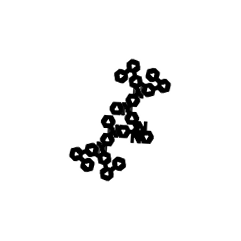 c1ccc(-c2ccccc2-c2ccc3c(c2)c2cc(-c4ccccc4-c4ccccc4)ccc2n3-c2ccc(N(c3ccccc3)c3ccc(-c4nc5ccccc5nc4-c4ccc(N(c5ccccc5)c5ccc(-n6c7ccc(-c8ccccc8-c8ccccc8)cc7c7cc(-c8ccccc8-c8ccccc8)ccc76)cc5)cc4)cc3)cc2)cc1